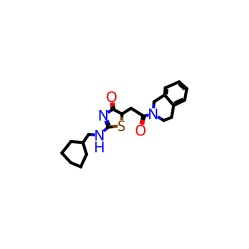 O=C1N=C(NCC2CCCCC2)SC1CC(=O)N1CCc2ccccc2C1